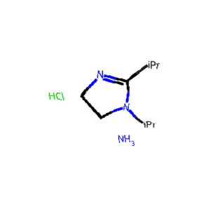 CC(C)C1=NCCN1C(C)C.Cl.N